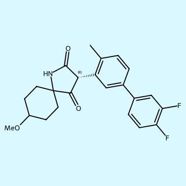 COC1CCC2(CC1)NC(=O)[C@H](c1cc(-c3ccc(F)c(F)c3)ccc1C)C2=O